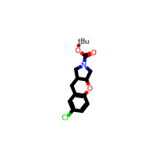 CC(C)(C)OC(=O)N1CC2Cc3cc(Cl)ccc3OC2C1